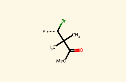 CC[C@H](Br)C(C)(C)C(=O)OC